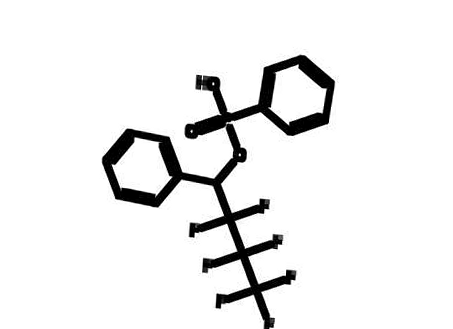 O=P(O)(OC(c1ccccc1)C(F)(F)C(F)(F)C(F)(F)F)c1ccccc1